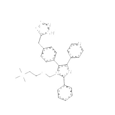 C[Si](C)(C)CCOCn1c(-c2ccccc2)nc(-c2ccncc2)c1-c1ccc(Cc2nnn[nH]2)cc1